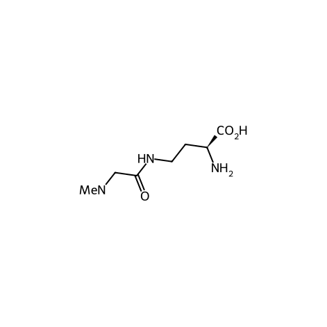 CNCC(=O)NCC[C@H](N)C(=O)O